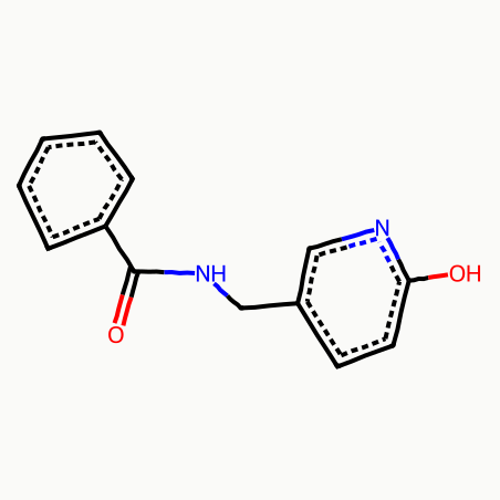 O=C(NCc1ccc(O)nc1)c1ccccc1